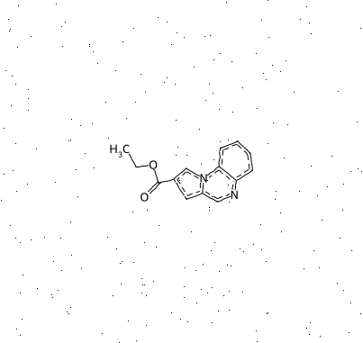 CCOC(=O)c1cc2cnc3ccccc3n2c1